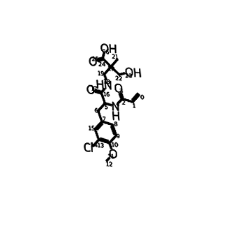 C=CC(=O)NC(Cc1ccc(OC)c(Cl)c1)C(=O)NCC(C)(CO)C(=O)O